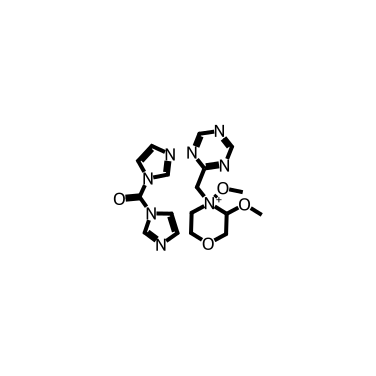 COC1COCC[N+]1(Cc1ncncn1)OC.O=C(n1ccnc1)n1ccnc1